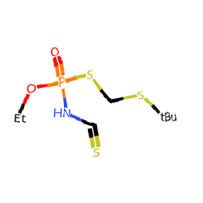 CCOP(=O)(NC=S)SCSC(C)(C)C